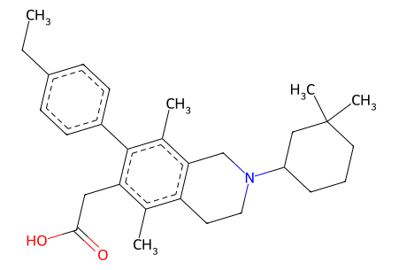 CCc1ccc(-c2c(C)c3c(c(C)c2CC(=O)O)CCN(C2CCCC(C)(C)C2)C3)cc1